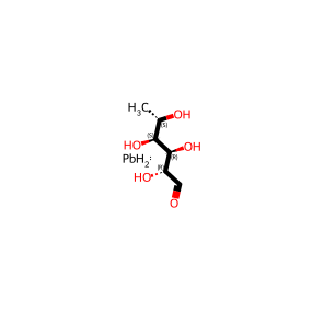 C[C@H](O)[C@H](O)[C@@H](O)[C@@H](O)C=O.[PbH2]